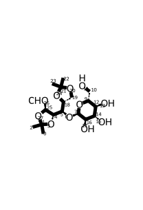 CC1(C)O[C@@H]([C@H](O[C@H]2O[C@H](CO)[C@@H](O)[C@H](O)[C@H]2O)[C@H]2COC(C)(C)O2)[C@H](C=O)O1